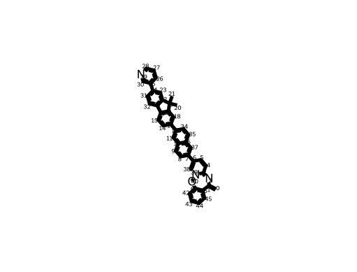 C=C1N=C2C=CC(c3ccc4cc(-c5ccc6c(c5)C(C)(C)c5cc(-c7cccnc7)ccc5-6)ccc4c3)=CN2Oc2ccccc21